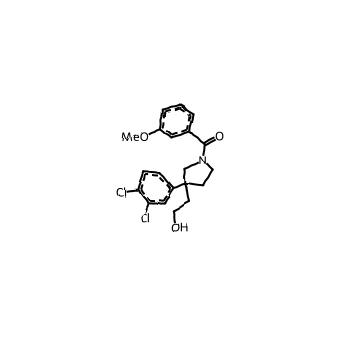 COc1cccc(C(=O)N2CCC(CCO)(c3ccc(Cl)c(Cl)c3)C2)c1